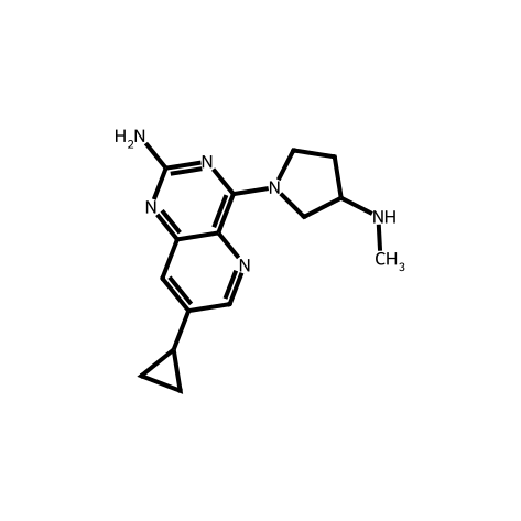 CNC1CCN(c2nc(N)nc3cc(C4CC4)cnc23)C1